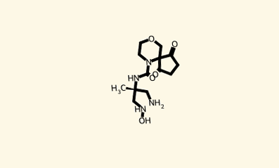 C[C@@](CN)(CNO)NC(=O)N1CCOCC12C(=O)CCC2=O